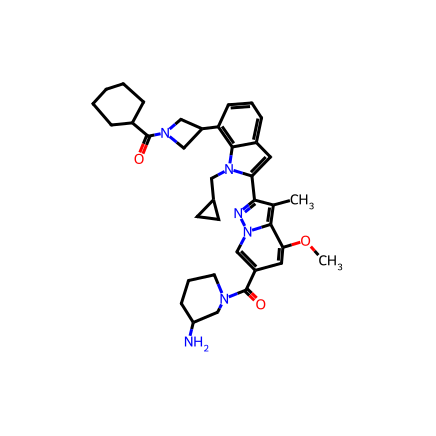 COc1cc(C(=O)N2CCCC(N)C2)cn2nc(-c3cc4cccc(C5CN(C(=O)C6CCCCC6)C5)c4n3CC3CC3)c(C)c12